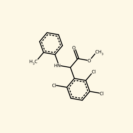 COC(=O)C(Nc1ccccc1C)c1c(Cl)ccc(Cl)c1Cl